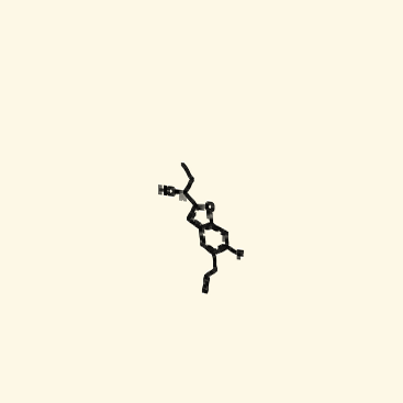 C=CCc1cc2cc([C@@H](O)CC)oc2cc1F